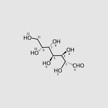 O=C[C@H](O)[C@H](O)[C@@H](O)[C@@H](O)[C@H](O)CO